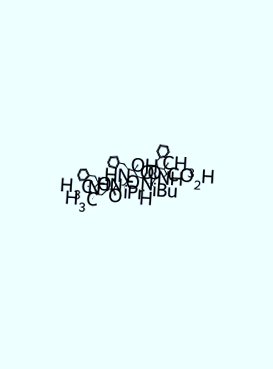 CC[C@H](C)[C@H](NC(=O)C[C@H](O)[C@H](Cc1ccccc1)NC(=O)[C@@H](NC(=O)CC[C@H](C)N(C)C(=O)Cc1ccccc1)C(C)C)C(=O)NC(C(=O)O)C(C)CCc1ccccc1